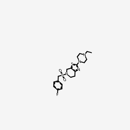 CCN1CCN(c2nc3c(s2)CN(S(=O)(=O)Cc2ccc(F)cc2)CC3)CC1